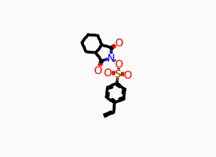 C=Cc1ccc(S(=O)(=O)ON2C(=O)C3CCCCC3C2=O)cc1